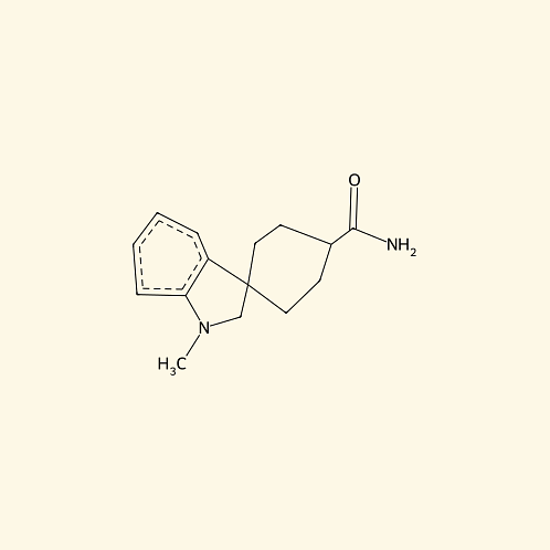 CN1CC2(CCC(C(N)=O)CC2)c2ccccc21